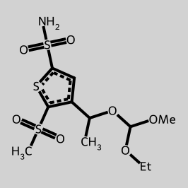 CCOC(OC)OC(C)c1cc(S(N)(=O)=O)sc1S(C)(=O)=O